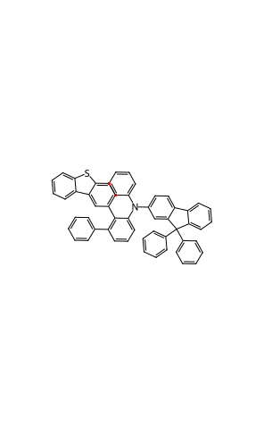 c1ccc(-c2cccc(N(c3ccccc3)c3ccc4c(c3)C(c3ccccc3)(c3ccccc3)c3ccccc3-4)c2-c2ccc3sc4ccccc4c3c2)cc1